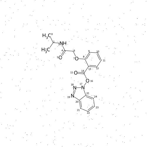 CC(C)NC(=O)COc1ccccc1C(=O)On1nnc2ccccc21